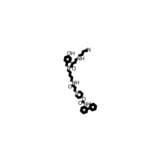 N#CCCCNCCCC(=O)N(CCCCCNC(=O)CCN1CCC(OC(=O)Nc2ccccc2-c2ccccc2)CC1)Cc1ccc(O)cc1